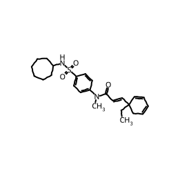 CCC1(C=CC(=O)N(C)c2ccc(S(=O)(=O)NC3CCCCCC3)cc2)C=CC=CC1